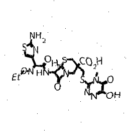 CCON=C(C(=O)NC1C(=O)N2CC(CSc3nnc(O)c(=O)n3C)(C(=O)O)CS[C@H]12)c1csc(N)n1